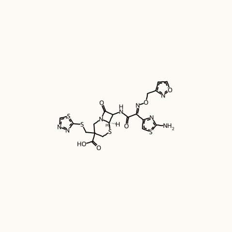 Nc1nc(C(=NOCc2ccon2)C(=O)NC2C(=O)N3CC(CSc4nncs4)(C(=O)O)CS[C@H]23)cs1